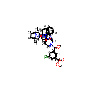 COC(=O)c1cc(F)cc(C(=O)N2CCC(CCN3[C@@H]4CC[C@H]3CC(n3c(C)nc5ccccc53)C4)(c3ccccc3)CC2)c1